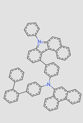 c1ccc(-c2ccccc2-c2ccc(N(c3cccc(-c4cccc5c4c4c6ccccc6ccc4n5-c4ccccc4)c3)c3cc4ccccc4c4ccccc34)cc2)cc1